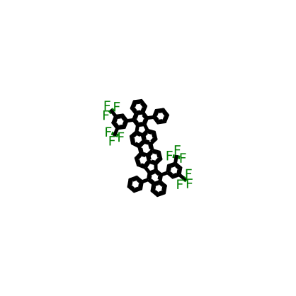 FC(F)(F)c1cc(-c2c3c(c(-c4ccccc4)c4ccccc24)-c2ccc4c5ccc6c7c(ccc(c8ccc-3c2c48)c75)-c2c-6c(-c3cc(C(F)(F)F)cc(C(F)(F)F)c3)c3ccccc3c2-c2ccccc2)cc(C(F)(F)F)c1